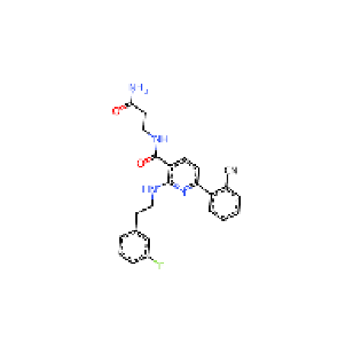 N#Cc1ccccc1-c1ccc(C(=O)NCCC(N)=O)c(NCCc2cccc(F)c2)n1